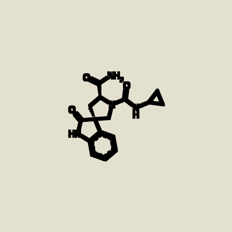 NC(=O)[C@@H]1C[C@@]2(CN1C(=O)NC1CC1)C(=O)Nc1ccccc12